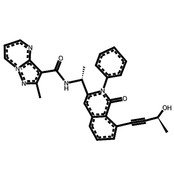 Cc1nn2cccnc2c1C(=O)N[C@H](C)c1cc2cccc(C#C[C@H](C)O)c2c(=O)n1-c1ccccc1